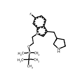 CC(C)(C)[Si](C)(C)OCCn1cc(CC2CCNC2)c2ccc(F)cc21